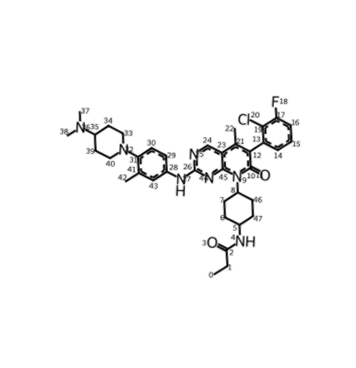 CCC(=O)NC1CCC(n2c(=O)c(-c3cccc(F)c3Cl)c(C)c3cnc(Nc4ccc(N5CCC(N(C)C)CC5)c(C)c4)nc32)CC1